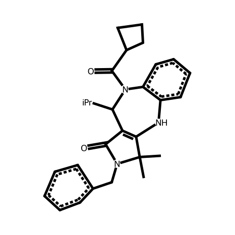 CC(C)C1C2=C(Nc3ccccc3N1C(=O)C1CCC1)C(C)(C)N(Cc1ccccc1)C2=O